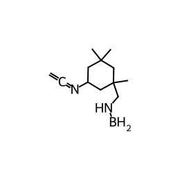 BNCC1(C)CC(N=C=C)CC(C)(C)C1